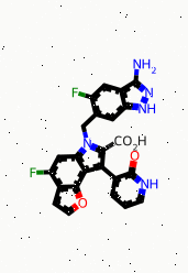 Nc1n[nH]c2cc(Cn3c(C(=O)O)c(-c4ccc[nH]c4=O)c4c5occc5c(F)cc43)c(F)cc12